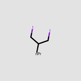 CCCC(CI)CI